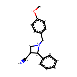 COc1ccc(CN2CC(C#N)C2c2ccccc2)cc1